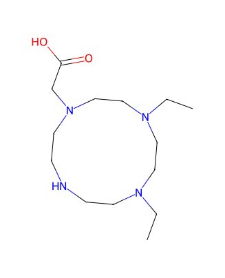 CCN1CCNCCN(CC(=O)O)CCN(CC)CC1